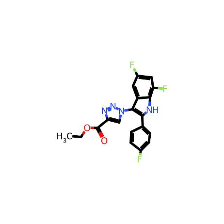 CCOC(=O)c1cn(-c2c(-c3ccc(F)cc3)[nH]c3c(F)cc(F)cc23)nn1